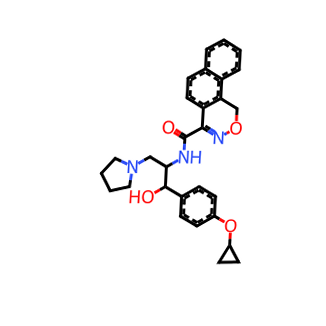 O=C(NC(CN1CCCC1)C(O)c1ccc(OC2CC2)cc1)C1=NOCc2c1ccc1ccccc21